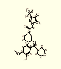 COc1cc(N2CCN(C(=O)Cn3nc(C(F)(F)F)c(Cl)c3C)CC2)c(C(=O)N2CCOCC2)cc1I